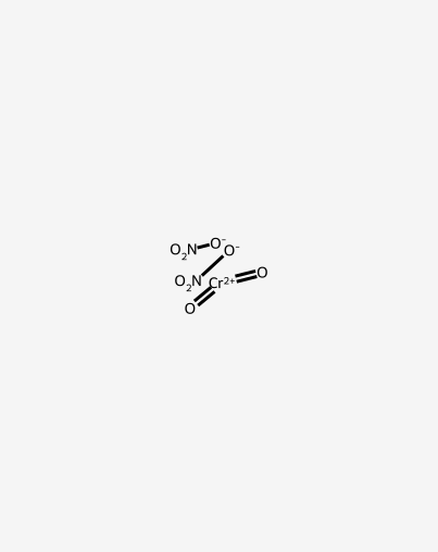 O=[N+]([O-])[O-].O=[N+]([O-])[O-].[O]=[Cr+2]=[O]